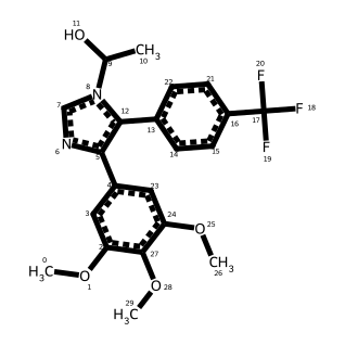 COc1cc(-c2ncn(C(C)O)c2-c2ccc(C(F)(F)F)cc2)cc(OC)c1OC